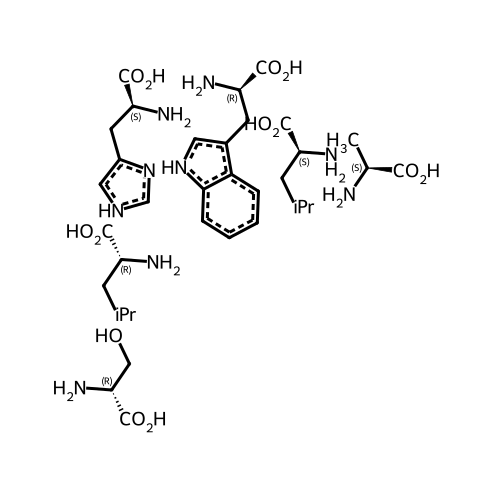 CC(C)C[C@@H](N)C(=O)O.CC(C)C[C@H](N)C(=O)O.C[C@H](N)C(=O)O.N[C@@H](Cc1c[nH]cn1)C(=O)O.N[C@H](CO)C(=O)O.N[C@H](Cc1c[nH]c2ccccc12)C(=O)O